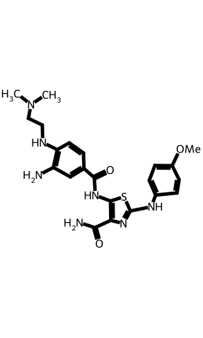 COc1ccc(Nc2nc(C(N)=O)c(NC(=O)c3ccc(NCCN(C)C)c(N)c3)s2)cc1